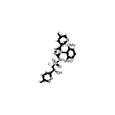 COc1cccc(OC)c1-n1c(NS(=O)(=O)[C@@H](C)[C@@H](O)c2ccc(C)nn2)nnc1-c1cncc(C)c1